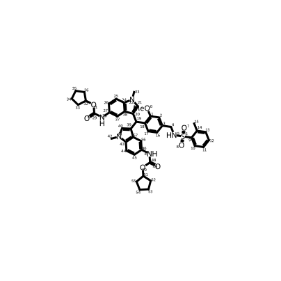 COc1cc(CNS(=O)(=O)c2ccccc2C)ccc1C(c1cn(C)c2ccc(NC(=O)OC3CCCC3)cc12)c1cn(C)c2ccc(NC(=O)OC3CCCC3)cc12